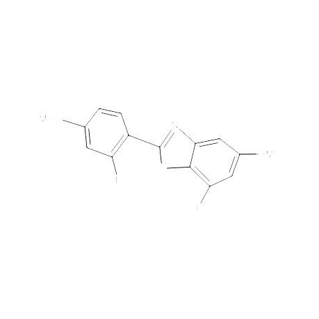 COc1ccc(-c2nc3cc(OC)cc(Br)c3o2)c(F)c1